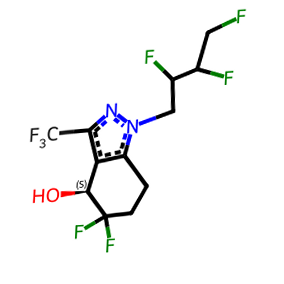 O[C@H]1c2c(C(F)(F)F)nn(CC(F)C(F)CF)c2CCC1(F)F